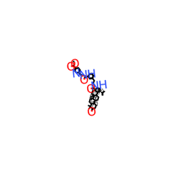 C=C(C)[C@@H]1CC[C@]2(C(=O)NCCc3cccc(C(=O)NCc4ccc(C(=O)OC)cn4)c3)CC[C@]3(C)C(CCC4[C@@]5(C)CCC(=O)C(C)(C)C5CC[C@]43C)C12